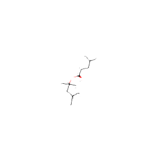 CC(C)CCC(=O)OC(C)(C)CC(C)C